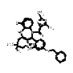 Cc1nc(C(=O)N2c3cccc(O)c3NC3=C(C2c2ccc(OCc4ccccc4)cc2F)S(=O)(=O)CC(C)(C)C3)c(C)o1